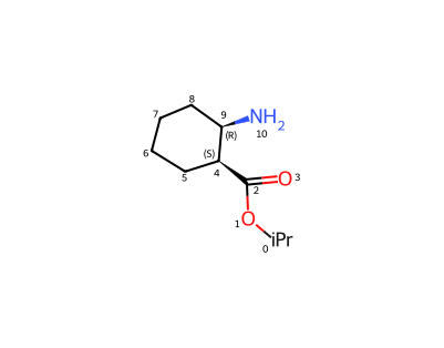 CC(C)OC(=O)[C@H]1CCCC[C@H]1N